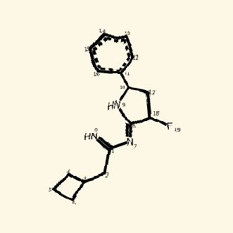 N=C(CC1CCC1)/N=C1\NC(c2ccccc2)CC1F